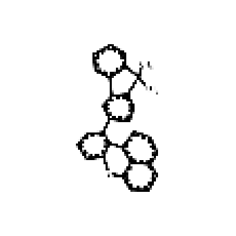 CC1(C)c2ccccc2-c2cc(-c3cccc4c3-c3cccc5cccc(c35)S4)ccc21